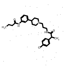 CCCC(=O)Nc1cccc(C2CCN(CCCNC(=O)C(C)c3ccc(Cl)cc3)CC2)c1